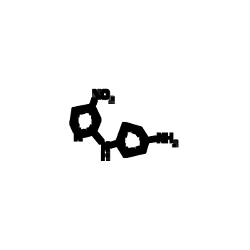 Nc1ccc(Nc2cc([N+](=O)[O-])ccn2)cc1